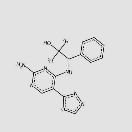 [2H]C([2H])(O)[C@@H](Nc1nc(N)ncc1-c1nnco1)c1ccccc1